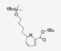 CC(C)(C)OC(=O)c1cccc(CCCCO[Si](C)(C)C(C)(C)C)n1